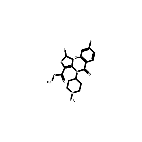 COC(=O)C1=C(N(C(=O)c2ccc(Cl)cc2Cl)C2CCN(C)CC2)CC(I)S1